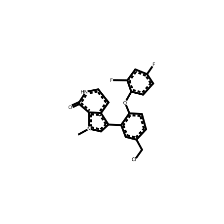 Cn1cc(-c2cc(CCl)ccc2Oc2ccc(F)cc2F)c2cc[nH]c(=O)c21